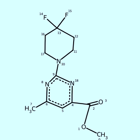 COC(=O)c1cc(C)nc(N2CCC(F)(F)CC2)n1